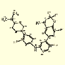 CC(C)N1CC(F)(F)Oc2c(F)cc(-c3nc(Nc4ccc(N5CCC(N(C)C)CC5)c(F)c4)ncc3F)cc21